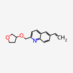 C=Cc1ccc2nc(COC3CCOC3)ccc2c1